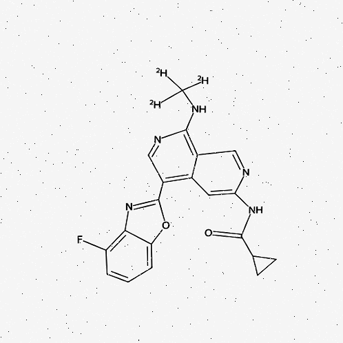 [2H]C([2H])([2H])Nc1ncc(-c2nc3c(F)cccc3o2)c2cc(NC(=O)C3CC3)ncc12